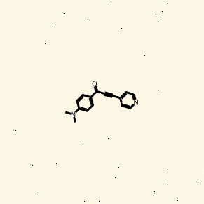 CN(C)c1ccc(C(=O)C#Cc2ccncc2)cc1